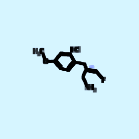 COc1ccc(C/C(=C/F)CN)cc1.Cl